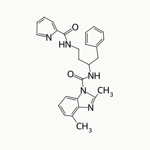 Cc1cccc2c1nc(C)n2C(=O)NC(CCNC(=O)c1ccccn1)Cc1ccccc1